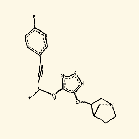 CC(C)C(C#Cc1ccc(F)cc1)Oc1nsnc1OC1CN2CCC1C2